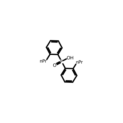 CCCc1ccccc1P(=O)(O)c1ccccc1CCC